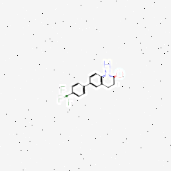 O=C1[C]Cc2cc(-c3ccc(C(F)(F)F)cc3)ccc2N1